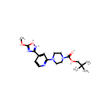 COc1nc(-c2ccnc(N3CCN(C(=O)OCC(C)(C)C)CC3)c2)no1